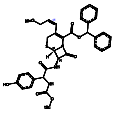 COC/C=C\C1=C(C(=O)OC(c2ccccc2)c2ccccc2)N2C(=O)[C@@H](NC(=O)C(NC(=O)OC(C)(C)C)c3ccc(O)cc3)[C@H]2SC1